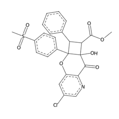 COC(=O)C1C(c2ccccc2)C2(c3ccc(S(C)(=O)=O)cc3)Oc3cc(Cl)cnc3C(=O)C12O